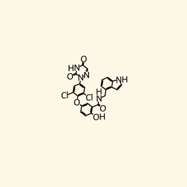 O=C(NCc1cccc2[nH]ccc12)c1cc(Oc2c(Cl)cc(-n3ncc(=O)[nH]c3=O)cc2Cl)ccc1O